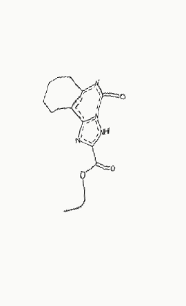 CCOC(=O)c1nc2c3c(nc(=O)n2[nH]1)CCCC3